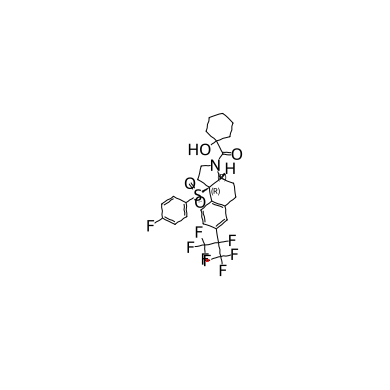 O=C(N1CC[C@@]2(S(=O)(=O)c3ccc(F)cc3)c3ccc(C(F)(C(F)(F)F)C(F)(F)F)cc3CC[C@@H]12)C1(O)CCCCC1